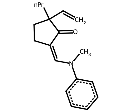 C=CC1(CCC)CCC(=CN(C)c2ccccc2)C1=O